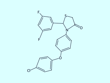 O=C1CSC(c2cc(F)cc(F)c2)N1c1ccc(Oc2ccc(Cl)cc2)cc1